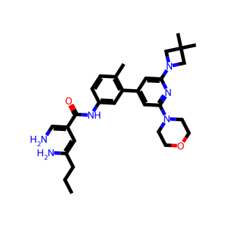 CCC/C(N)=C/C(=C\N)C(=O)Nc1ccc(C)c(-c2cc(N3CCOCC3)nc(N3CC(C)(C)C3)c2)c1